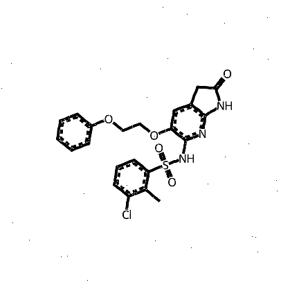 Cc1c(Cl)cccc1S(=O)(=O)Nc1nc2c(cc1OCCOc1ccccc1)CC(=O)N2